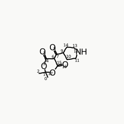 CC1(C)OC(=O)C(C(=O)C2CCNCC2)C(=O)O1